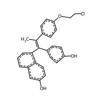 C/C(=C(/c1ccc(O)cc1)c1cccc2cc(O)ccc12)c1ccc(OCCCl)cc1